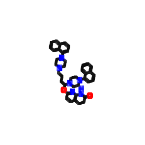 O=C1CCc2ccc(OC(CCCN3CCN(c4cccc5ccccc45)CC3)N3CCN(c4cccc5ccccc45)CC3)nc2N1